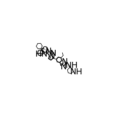 CCc1cc(-c2ccc3c(NS(=O)(=O)C4CCCCC4)ncnn23)cc2cnc(NC3CCCNC3)nc12